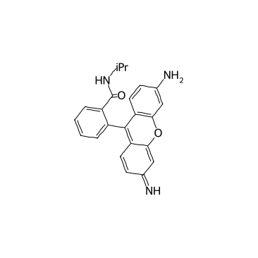 CC(C)NC(=O)c1ccccc1-c1c2ccc(=N)cc-2oc2cc(N)ccc12